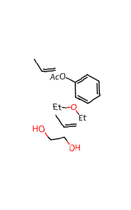 C=CC.C=CC.CC(=O)Oc1ccccc1.CCOCC.OCCO